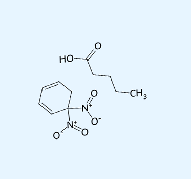 CCCCC(=O)O.O=[N+]([O-])C1([N+](=O)[O-])C=CC=CC1